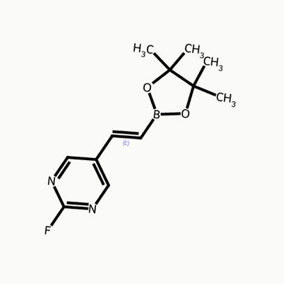 CC1(C)OB(/C=C/c2cnc(F)nc2)OC1(C)C